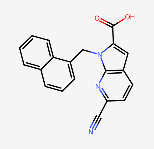 N#Cc1ccc2cc(C(=O)O)n(Cc3cccc4ccccc34)c2n1